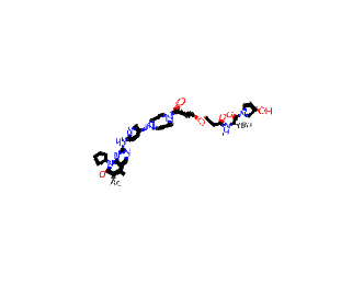 CC(=O)c1c(C)c2cnc(Nc3ccc(N4CCN(C(=O)CCOCCC(=O)N[C@H](C(=O)N5CC[C@@H](O)C5)C(C)(C)C)CC4)cn3)nc2n(C2CCCC2)c1=O